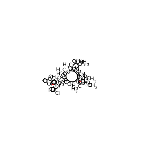 CC[C@H]1OC(=O)[C@H](C)[C@@H](O[C@H]2C[C@@](C)(OC)[C@@H](O)[C@H](C)O2)[C@H](C)[C@@H](O[C@@H]2O[C@H](C)C[C@@H](OC)[C@@H]2N(C)C)[C@](C)(OC)C[C@@H](C)C(=O)[C@H](C)[C@H]2[C@H](SCCN(Cc3c(Cl)cncc3Cl)c3ccc(OC)c(OC4CCCC4)c3)C(=O)O[C@@]21C